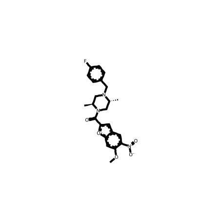 COc1cc2oc(C(=O)N3C[C@@H](C)N(Cc4ccc(F)cc4)C[C@@H]3C)cc2cc1[N+](=O)[O-]